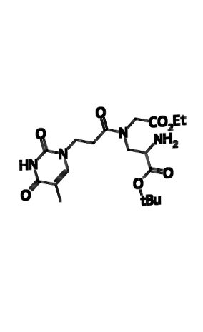 CCOC(=O)CN(CC(N)C(=O)OC(C)(C)C)C(=O)CCn1cc(C)c(=O)[nH]c1=O